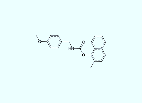 COc1ccc(CNC(=O)Oc2c(C)ccc3ccccc23)cc1